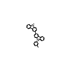 Cc1cccc(-n2c3ccccc3c3cc(-c4ccc5c(c4)c4ccccc4n5C)ccc32)c1